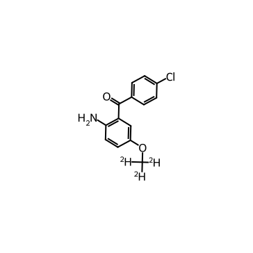 [2H]C([2H])([2H])Oc1ccc(N)c(C(=O)c2ccc(Cl)cc2)c1